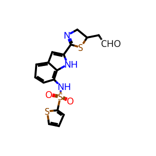 O=CCC1CN=C(c2cc3cccc(NS(=O)(=O)c4cccs4)c3[nH]2)S1